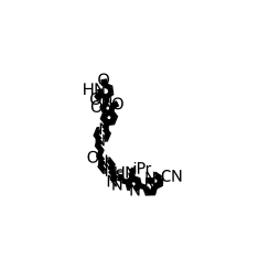 CC(C)Nc1cc(-c2ccc3cc(C#N)cnn23)ncc1-c1nnc(N2CCN(C(=O)CCN3CCN(c4ccc5c(c4)C(=O)N(C4CCC(=O)NC4=O)C5=O)CC3)CC2)s1